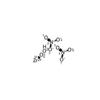 O.O=[N+]([O-])[O-].O=[N+]([O-])[O-].[O]=[Zr+2]